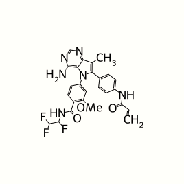 C=CC(=O)Nc1ccc(-c2c(C)c3ncnc(N)c3n2-c2ccc(C(=O)NC(F)C(F)F)c(OC)c2)cc1